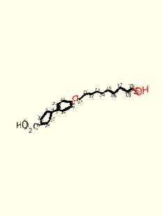 O=C(O)c1ccc(-c2ccc(OCCCCCCCCCCO)cc2)cc1